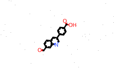 O=Cc1ccc2cc(-c3ccc(C(=O)O)cc3)cnc2c1